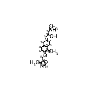 CNC[C@H](O)CN1CCc2c(ccc(OCc3ocnc3C)c2C)C1